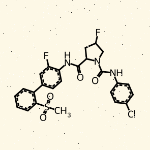 CS(=O)(=O)c1ccccc1-c1ccc(NC(=O)C2CC(F)CN2C(=O)Nc2ccc(Cl)cc2)c(F)c1